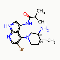 CC(C)C(=O)Nc1c[nH]c2ncc(Br)c(N3CC[C@@H](C)[C@H](N)C3)c12